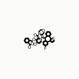 O=C1OC(Oc2c3n(ccc2=O)N(C2c4ccc(F)cc4-c4ccsc4-c4ccccc42)C2COCCN2C3=O)c2ccccc21